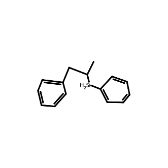 CC(Cc1ccccc1)[SiH2]c1ccccc1